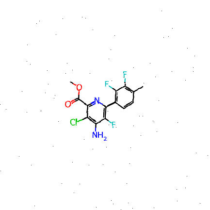 COC(=O)c1nc(-c2ccc(C)c(F)c2F)c(F)c(N)c1Cl